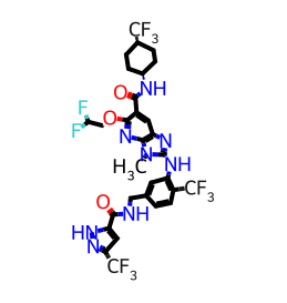 Cn1c(Nc2cc(CNC(=O)c3cc(C(F)(F)F)n[nH]3)ccc2C(F)(F)F)nc2cc(C(=O)N[C@H]3CC[C@H](C(F)(F)F)CC3)c(OCC(F)F)nc21